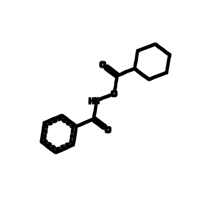 O=C(NOC(=O)C1CCCCC1)c1ccccc1